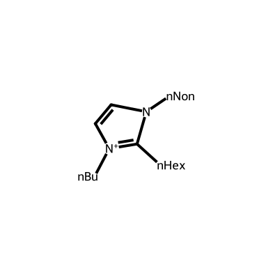 CCCCCCCCCn1cc[n+](CCCC)c1CCCCCC